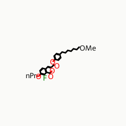 CCCOc1ccc2cc(C(=O)Oc3ccc(CCCCCCCOC)cc3)oc(=O)c2c1F